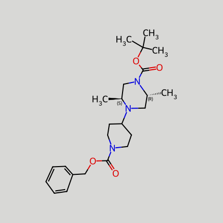 C[C@@H]1CN(C2CCN(C(=O)OCc3ccccc3)CC2)[C@@H](C)CN1C(=O)OC(C)(C)C